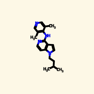 Cc1cncc(C)c1Nc1nccc2c1ccn2CCC(C)C